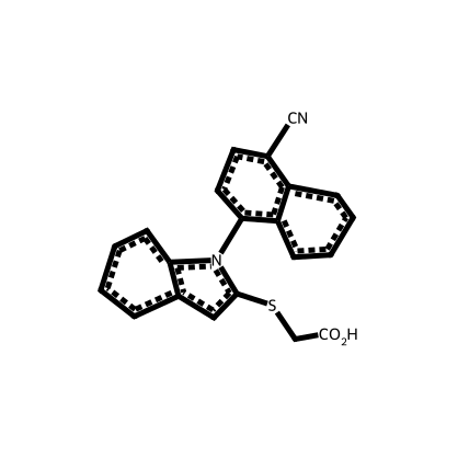 N#Cc1ccc(-n2c(SCC(=O)O)cc3ccccc32)c2ccccc12